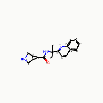 CC(C)(NC(=O)C1C2CNCC21)c1ccc2ccccc2n1